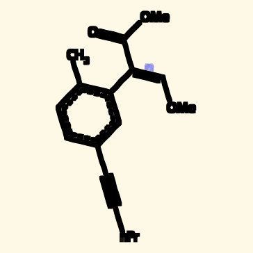 CCCC#Cc1ccc(C)c(/C(=C\OC)C(=O)OC)c1